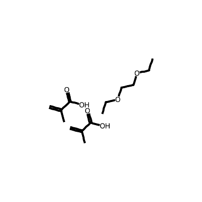 C=C(C)C(=O)O.C=C(C)C(=O)O.CCOCCOCC